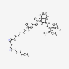 CCCCC/C=C\C/C=C\CCCCCCCC(=O)OCOC(=O)n1cc(CCN(C(C)C)C(C)C)c2ccccc21